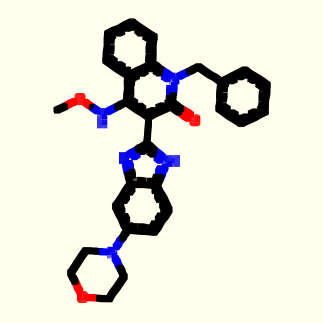 CONc1c(-c2nc3cc(N4CCOCC4)ccc3[nH]2)c(=O)n(Cc2ccccc2)c2ccccc12